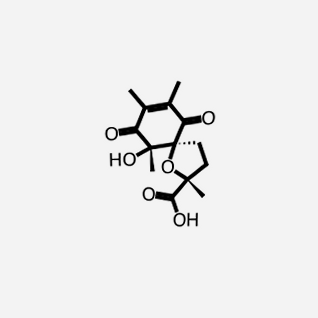 CC1=C(C)C(=O)[C@]2(CC[C@](C)(C(=O)O)O2)[C@](C)(O)C1=O